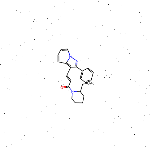 CC(=O)OCC1CCCCN1C(=O)/C=C/c1c(-c2ccccc2)nn2ccccc12